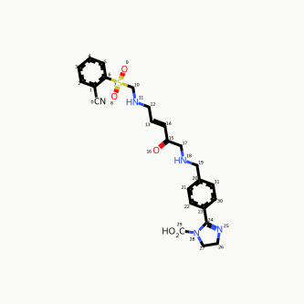 N#Cc1ccccc1S(=O)(=O)CNCC=CC(=O)CNCc1ccc(C2=NCCN2C(=O)O)cc1